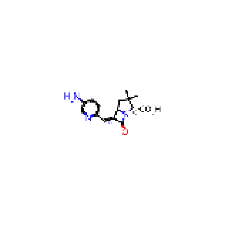 CC1(C)CC2/C(=C\c3ccc(N)cn3)C(=O)N2[C@H]1C(=O)O